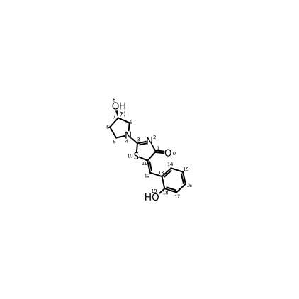 O=C1N=C(N2CC[C@@H](O)C2)SC1=Cc1ccccc1O